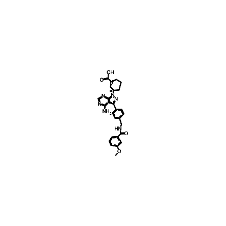 COc1cccc(C(=O)NCc2ccc(-c3nn([C@@H]4CCCN(C(=O)O)C4)c4ncnc(N)c34)cc2)c1